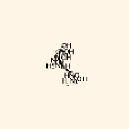 CC(O)C(N)C(=O)NCC#CCNc1nc(S)c2ncn(C3O[C@H](CO)[C@H](O)C3O)c2n1